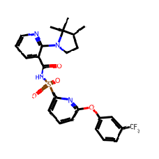 CC1CCN(c2ncccc2C(=O)NS(=O)(=O)c2cccc(Oc3cccc(C(F)(F)F)c3)n2)C1(C)C